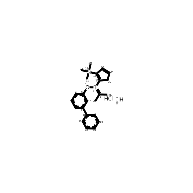 C[C](C)=[Ti]([O]c1cccc(-c2ccccc2)c1)[C]1=C([Si](C)(C)C)C=CC1.Cl.Cl